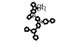 CC1(C)c2ccccc2-c2cc3c4ccccc4n(-c4ccc5c(c4)c4cc(-c6cc(-c7ccccc7)cc(-c7ccccc7)c6)ccc4n5C4C=CC(c5ccccc5)=CC4)c3cc21